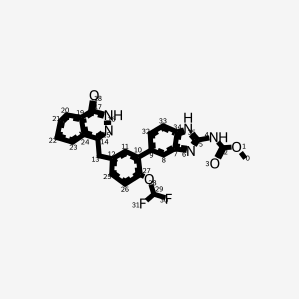 COC(=O)Nc1nc2cc(-c3cc(Cc4n[nH]c(=O)c5ccccc45)ccc3OC(F)F)ccc2[nH]1